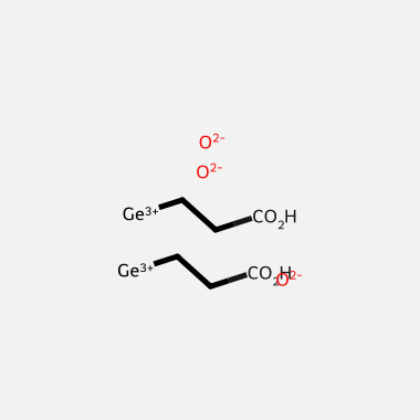 O=C(O)C[CH2][Ge+3].O=C(O)C[CH2][Ge+3].[O-2].[O-2].[O-2]